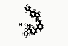 CNC(=O)c1nc(-c2cccc(CNC3CCc4cc(-c5ccsc5)ccc43)c2)cnc1N